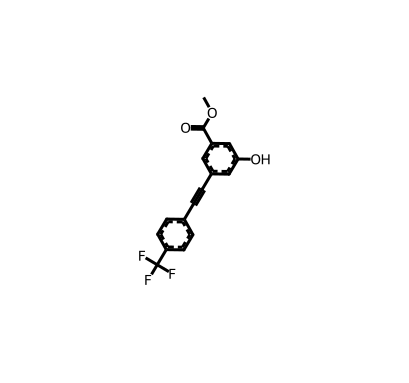 COC(=O)c1cc(O)cc(C#Cc2ccc(C(F)(F)F)cc2)c1